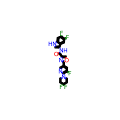 O=C(Nc1c[nH]c2cc(F)c(F)cc12)c1coc(-c2cnc(N3CCC(F)(F)CC3)c(F)c2)n1